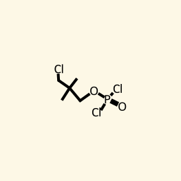 CC(C)(CCl)COP(=O)(Cl)Cl